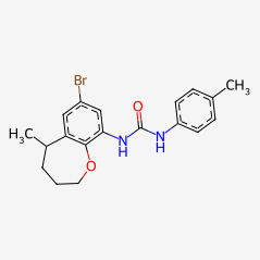 Cc1ccc(NC(=O)Nc2cc(Br)cc3c2OCCCC3C)cc1